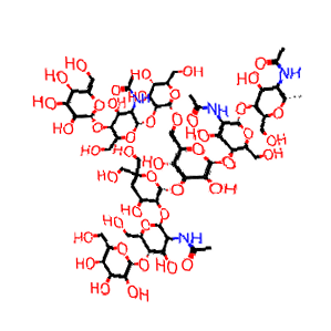 CC(=O)NC1C(O)[C@H](O[C@@H]2OC(CO)[C@H](O)C(O)C2O)C(CO)O[C@H]1OC1C(O)CC(CO)(CO)O[C@@H]1OC1C(O)[C@H](O[C@@H]2C(CO)O[C@@H](O[C@@H]3C(CO)O[C@@H](C)C(NC(C)=O)C3O)C(NC(C)=O)C2O)OC(CO[C@H]2OC(CO)[C@@H](O)C(O)C2O[C@@H]2OC(CO)[C@@H](O[C@@H]3OC(CO)[C@H](O)C(O)C3O)C(O)C2NC(C)=O)[C@H]1O